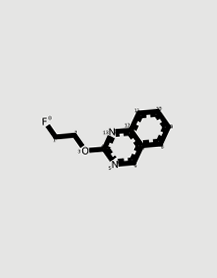 FCCOc1ncc2ccccc2n1